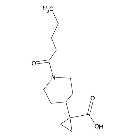 CCCCC(=O)N1CCC(C2(C(=O)O)CC2)CC1